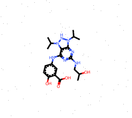 CC(O)CNc1nc(Nc2ccc(O)c(C(=O)O)c2)c2c(n1)N(C(C)C)NN2C(C)C